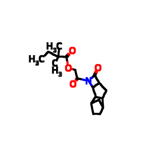 CCC(C)(C)C(=O)OCC(=O)N1C(=O)C2CC3C4CCC(C4)C3C21